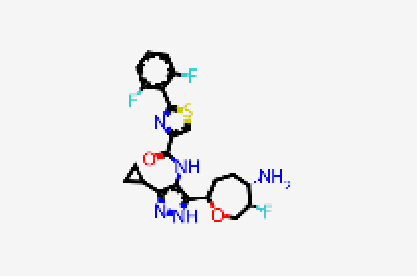 N[C@H]1CC[C@H](c2[nH]nc(C3CC3)c2NC(=O)c2csc(-c3c(F)cccc3F)n2)OC[C@@H]1F